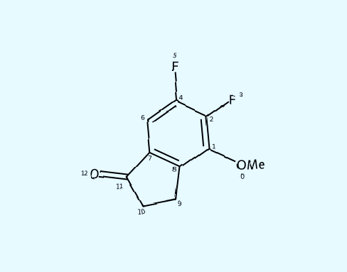 COc1c(F)c(F)cc2c1CCC2=O